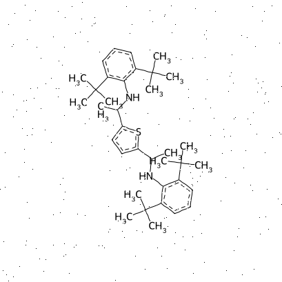 CC(Nc1c(C(C)(C)C)cccc1C(C)(C)C)c1ccc(C(C)Nc2c(C(C)(C)C)cccc2C(C)(C)C)s1